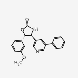 COc1cccc([C@@H]2OC(=O)N[C@H]2c2cncc(-c3ccccc3)c2)c1